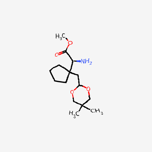 COC(=O)[C@@H](N)C1(CC2OCC(C)(C)CO2)CCCC1